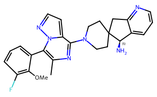 COc1c(F)cccc1-c1c(C)nc(N2CCC3(CC2)Cc2ncccc2[C@H]3N)c2ccnn12